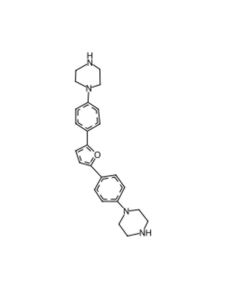 c1cc(N2CCNCC2)ccc1-c1ccc(-c2ccc(N3CCNCC3)cc2)o1